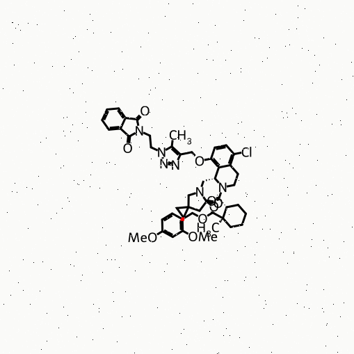 COc1ccc(COC(=O)[C@@]2(C)CCCC[C@H]2C(=O)N2CCc3c(Cl)ccc(OCc4nnn(CCN5C(=O)c6ccccc6C5=O)c4C)c3[C@H]2CN2CC3(CC3)CC2=O)c(OC)c1